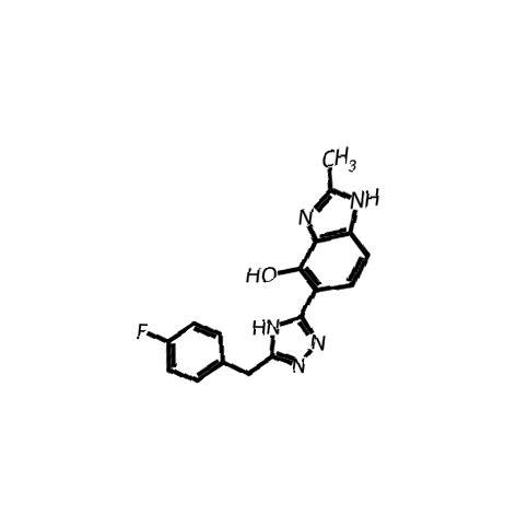 Cc1nc2c(O)c(-c3nnc(Cc4ccc(F)cc4)[nH]3)ccc2[nH]1